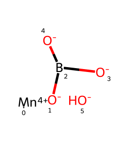 [Mn+4].[O-]B([O-])[O-].[OH-]